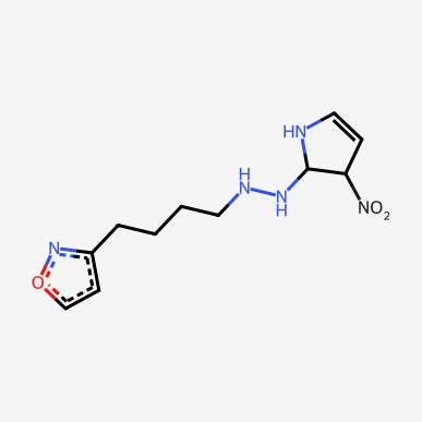 O=[N+]([O-])C1C=CNC1NNCCCCc1ccon1